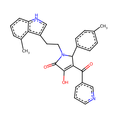 Cc1ccc(C2C(C(=O)c3cccnc3)=C(O)C(=O)N2CCc2c[nH]c3cccc(C)c23)cc1